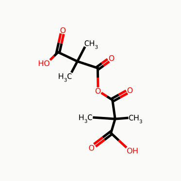 CC(C)(C(=O)O)C(=O)OC(=O)C(C)(C)C(=O)O